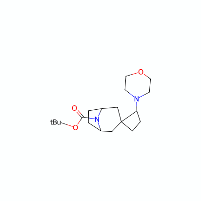 CC(C)(C)OC(=O)N1C2CCC1CC1(CCC1N1CCOCC1)C2